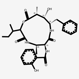 CCC(C)C1OC(=O)[C@H](C)[C@H](O)[C@H](Cc2ccccc2)NC(=O)[C@@H](NC(=O)c2ccccc2O)[C@@H](C)NC1=O